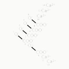 O=C([O-])[O-].O=C([O-])[O-].O=C([O-])[O-].O=C([O-])[O-].O=C([O-])[O-].[Ca+2].[Ca+2].[Ca+2].[Ca+2].[Ca+2]